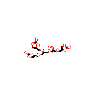 O=C1OCC(COCC(O)COCC(COCC2COC(=O)O2)OCC2COC(=O)O2)O1